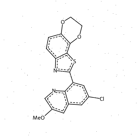 COc1cnc2c(-c3nc4ccc5c(c4s3)OCCO5)cc(Cl)cc2c1